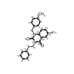 Cc1ccc(Cn2c(=O)n(CCc3ccccc3)c(=O)c3cc(F)ccc32)cc1